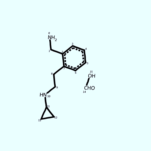 NCc1ccccc1CCNC1CC1.O=CO